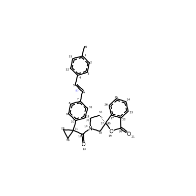 Cc1ccc(/C=C/c2ccc(C3(C(=O)N4CC[C@@]5(C4)OC(=O)c4ccccc45)CC3)cc2)cc1